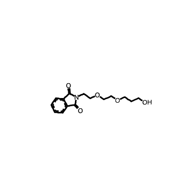 O=C1c2ccccc2C(=O)N1CCOCCOCCCO